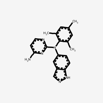 Cc1cc(C)c(N(c2ccc3[nH]ncc3c2)c2nccc(N)n2)c(C)c1